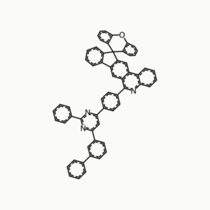 c1ccc(-c2cccc(-c3cc(-c4ccc(-c5nc6ccccc6c6cc7c(cc56)-c5ccccc5C75c6ccccc6Oc6ccccc65)cc4)nc(-c4ccccc4)n3)c2)cc1